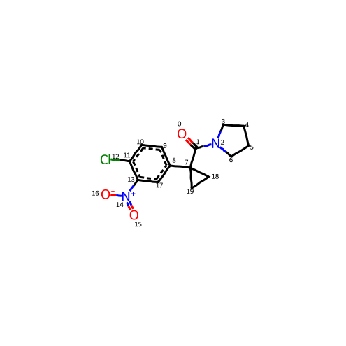 O=C(N1CCCC1)C1(c2ccc(Cl)c([N+](=O)[O-])c2)CC1